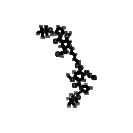 COc1cc(CCCCCOOc2cc(OC)c(C(=O)N3CCC[C@H]3CO[Si](C)(C)C(C)(C)C)cc2N=C=O)c(N=C=O)cc1C(=O)N1CCC[C@H]1CO[Si](C)(C)C(C)(C)C